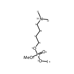 COP(=O)(OI)OCCCCN(C)C